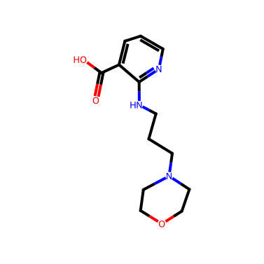 O=C(O)c1cccnc1NCCCN1CCOCC1